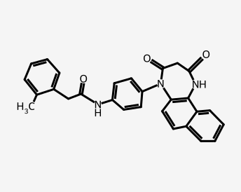 Cc1ccccc1CC(=O)Nc1ccc(N2C(=O)CC(=O)Nc3c2ccc2ccccc32)cc1